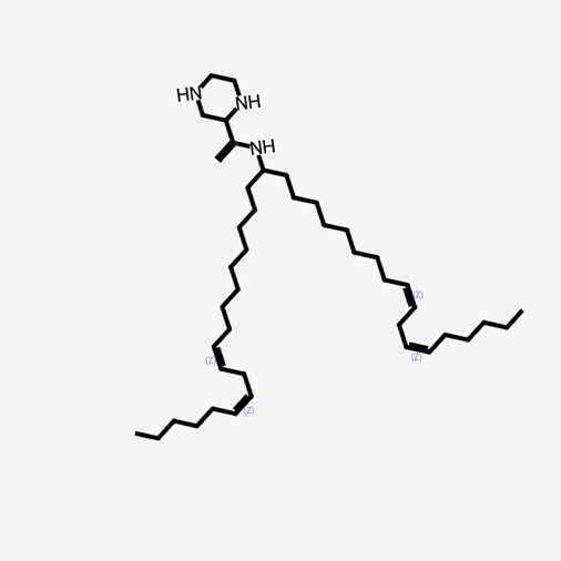 C=C(NC(CCCCCCCC/C=C\C/C=C\CCCCC)CCCCCCCC/C=C\C/C=C\CCCCC)C1CNCCN1